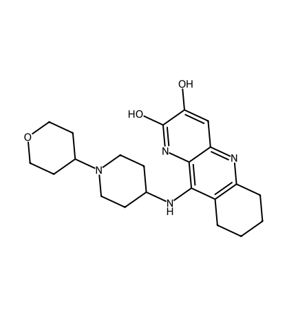 Oc1cc2nc3c(c(NC4CCN(C5CCOCC5)CC4)c2nc1O)CCCC3